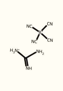 N#C[B-](C#N)(C#N)C#N.N=C(N)[NH3+]